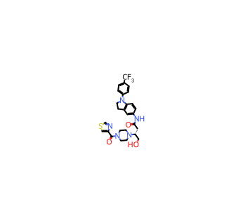 O=C(C[C@H](CO)N1CCN(C(=O)c2cscn2)CC1)Nc1ccc2c(c1)CCN2c1ccc(C(F)(F)F)cc1